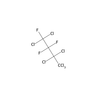 FC(Cl)(Cl)C(F)(F)C(Cl)(Cl)C(Cl)(Cl)Cl